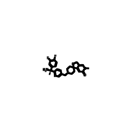 Cn1cc2c(cc1=O)C1(CCN(Cc3ccc([C@@](C)(N)c4ccc(F)c(F)c4)nc3)CC1)OC2